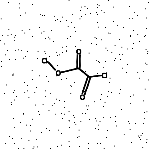 O=C(Cl)C(=O)OCl